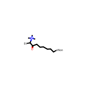 CCCCCCCCCCCCCCCC(=O)C(CC)[N+](C)(C)C